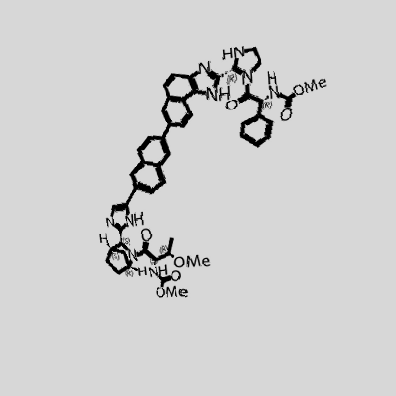 COC(=O)N[C@H](C(=O)N1[C@@H]2CC[C@@H](C2)[C@H]1c1ncc(-c2ccc3cc(-c4ccc5c(ccc6nc([C@@H]7NCCN7C(=O)[C@H](NC(=O)OC)c7ccccc7)[nH]c65)c4)ccc3c2)[nH]1)[C@@H](C)OC